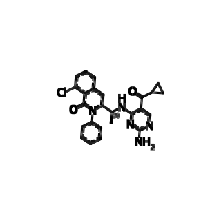 C[C@H](Nc1nc(N)ncc1C(=O)C1CC1)c1cc2cccc(Cl)c2c(=O)n1-c1ccccc1